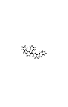 c1ccc2cc3c(cc2c1)sc1ccc(-n2c4ccccc4c4c5c(ccc42)oc2ccccc25)cc13